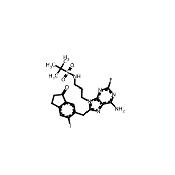 CC(C)(C)S(=O)(=O)NCCCn1c(Cc2cc3c(cc2I)CCC3=O)nc2c(N)nc(F)nc21